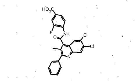 Cc1c(-c2ccccc2)nc2cc(Cl)c(Cl)cc2c1C(=O)Nc1ccc(C(=O)O)cc1F